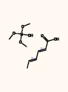 C/C=C/C=C/C(=O)O.CO[Si](O)(OC)OC